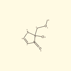 COCC1(Cl)SC=CC1=O